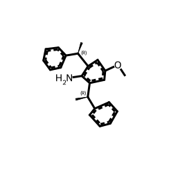 COc1cc([C@H](C)c2ccccc2)c(N)c([C@H](C)c2ccccc2)c1